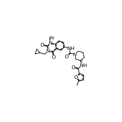 Cc1ccc(C(=O)N[C@@H]2CCCN(C(=O)Nc3ccc4c(c3)c(=O)n(CC3CC3)c(=O)n4C(C)C)C2)o1